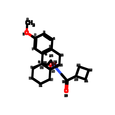 COc1ccc2c(c1)[C@@]13CCCCC1(O)C(C2)N(C(=O)C1CCC1)CC3